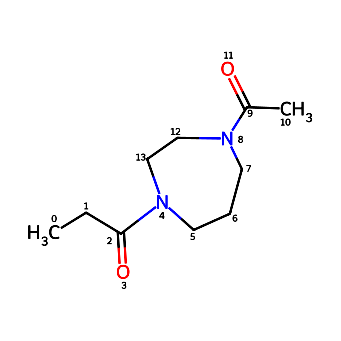 CCC(=O)N1CCCN(C(C)=O)CC1